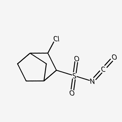 O=C=NS(=O)(=O)C1C2CCC(C2)C1Cl